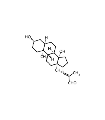 C/C(C=O)=C\[C@H]1CC[C@]2(O)[C@@H]3CC[C@@H]4C[C@H](O)CC[C@]4(C)[C@H]3CC[C@]12C